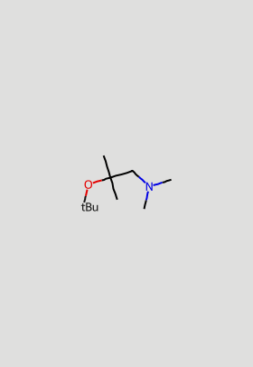 CN(C)CC(C)(C)OC(C)(C)C